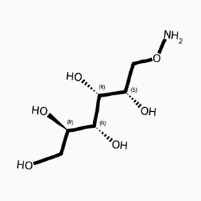 NOC[C@H](O)[C@@H](O)[C@H](O)[C@H](O)CO